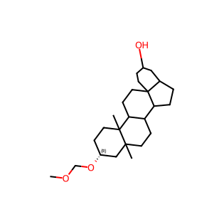 COCO[C@@H]1CCC2(C)C3CCC45CCC(O)CC4CCC5C3CCC2(C)C1